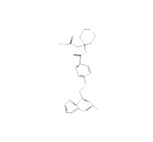 Cc1cc(COc2ccc(C(=O)NC3(CC(=O)NO)CCSCC3)cc2)c2ccccc2n1